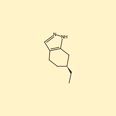 CC[C@H]1CCc2cn[nH]c2C1